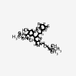 Cn1nc(NS(C)(=O)=O)c2c(Cl)ccc(-c3cc4cnn(COCC[Si](C)(C)C)c4nc3C(Cc3cc(F)cc(F)c3)NC(=O)O)c21